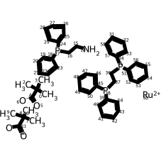 CC(C)(C)C(=O)[O-].CC(C)(C)C(=O)[O-].NCCP(c1ccccc1)c1ccccc1.[Ru+2].c1ccc(P(CCP(c2ccccc2)c2ccccc2)c2ccccc2)cc1